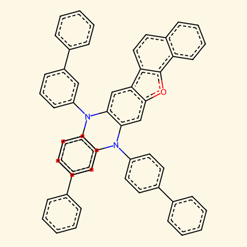 c1ccc(-c2ccc(N(c3ccccc3)c3cc4oc5c6ccccc6ccc5c4cc3N(c3ccc(-c4ccccc4)cc3)c3cccc(-c4ccccc4)c3)cc2)cc1